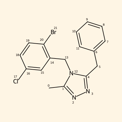 Cc1nnc(Cc2ccccc2)n1Cc1cc(Cl)ccc1Br